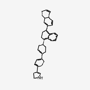 C1=CC2C=CC(C3=c4ccccc4=C(C4CC=C(C5=CC=C(C6=CNCC6)CC5)CC4)CC3)=CC2CC1